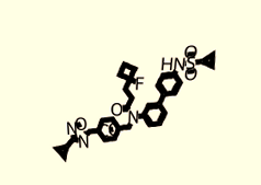 O=C(CCC1(F)CCC1)N(CC12CCC(c3nc(C4CC4)no3)(CC1)CC2)c1cccc(-c2ccc(NS(=O)(=O)C3CC3)cc2)c1